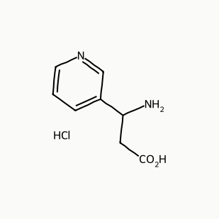 Cl.NC(CC(=O)O)c1cccnc1